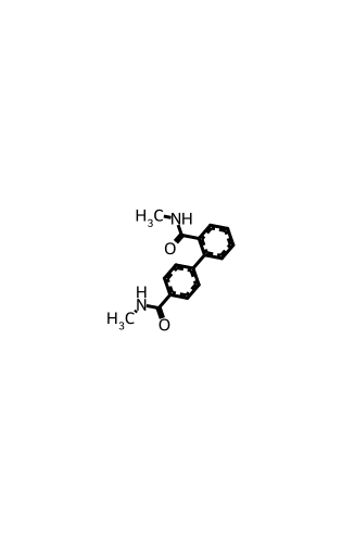 CNC(=O)c1ccc(-c2ccccc2C(=O)NC)cc1